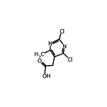 Cc1nc(Cl)nc(Cl)c1CC(=O)O